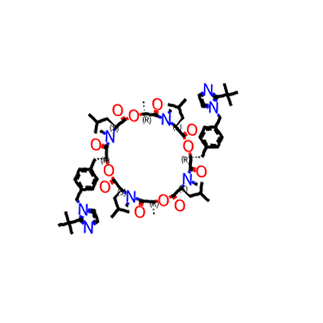 CC(C)C[C@H]1C(=O)O[C@H](Cc2ccc(Cn3ccnc3C(C)(C)C)cc2)C(=O)N(C)[C@@H](CC(C)C)C(=O)O[C@H](C)C(=O)N(C)[C@@H](CC(C)C)C(=O)O[C@H](Cc2ccc(Cn3ccnc3C(C)(C)C)cc2)C(=O)N(C)[C@@H](CC(C)C)C(=O)O[C@H](C)C(=O)N1C